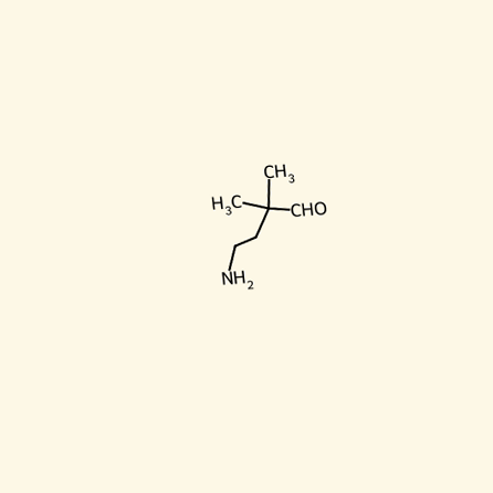 CC(C)(C=O)CCN